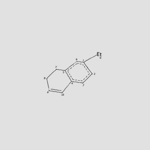 [CH2]Cc1ccc2c(c1)CCC=C2